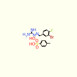 Cc1ccc(S(=O)(=O)O)cc1.N=C(N)N(O)/N=C/c1ccc(F)c(Br)c1